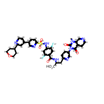 Cn1c(=O)n(-c2ccc(CC(NC(=O)c3cc(F)c(NS(=O)(=O)c4ccc(-c5ccnc(C6CCOCC6)c5)cn4)cc3F)C(=O)O)nc2)c(=O)c2ccncc21